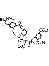 N=C(N)Nc1ccc2c(c1)CCCOc1c(cccc1C(=O)N(CC(=O)O)CC(=O)N(CC(=O)O)Cc1cccc(C(=O)O)c1)OC2=O